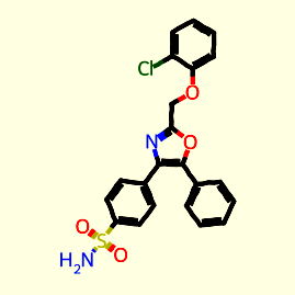 NS(=O)(=O)c1ccc(-c2nc(COc3ccccc3Cl)oc2-c2ccccc2)cc1